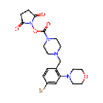 O=C(ON1C(=O)CCC1=O)N1CCN(Cc2ccc(Br)cc2N2CCOCC2)CC1